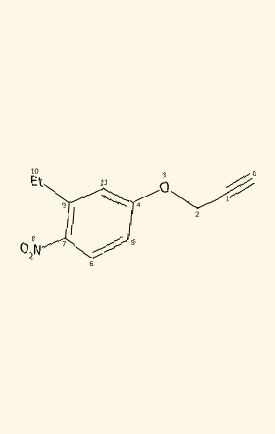 C#CCOc1ccc([N+](=O)[O-])c(CC)c1